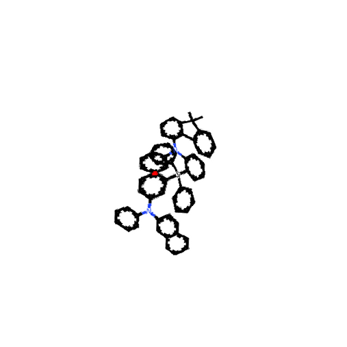 CC1(C)c2ccccc2-c2c(N(c3ccccc3)c3ccccc3[Si](c3ccccc3)(c3ccccc3)c3cccc(N(c4ccccc4)c4ccc5ccccc5c4)c3)cccc21